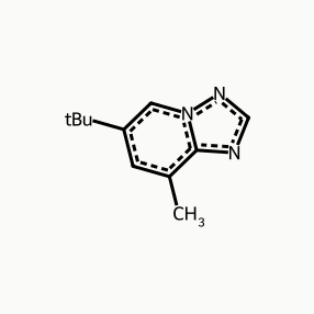 Cc1cc(C(C)(C)C)cn2ncnc12